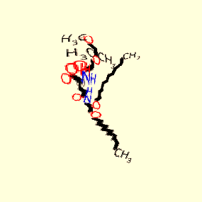 CCCCCCCCCCCCOCC(CNC(=O)CC[C@H](NC(=O)CCOC(C)(C)CCOC)C(=O)O)OCCCCCCCCCCCC